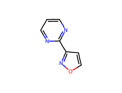 c1cnc(-c2ccon2)nc1